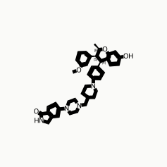 COc1cccc([C@@H]2[C@H](c3ccc(N4CCC(CN5CCN(c6ccc7c(c6)CNC7=O)CC5)CC4)cc3)c3ccc(O)cc3O[C@@H]2C)c1